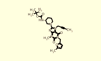 CC#CCn1c(N2CCC[C@@H](NC(=O)OC(C)(C)C)C2)nc2c1c(=O)n(Cc1ccc(C)o1)c(=O)n2C